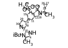 CCC(C)N1C(C)=CNC1c1cc(-c2cc3c(c(S(C)(=O)=O)c2)C(=O)N([C@@H](C)C2CC2)C3)ccn1